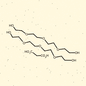 O=C(O)CC(=O)O.OCCOCCOCCOCCO.OCCOCCOCCOCCO